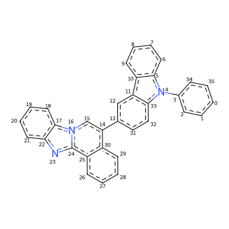 c1ccc(-n2c3ccccc3c3cc(-c4cn5c6ccccc6nc5c5ccccc45)ccc32)cc1